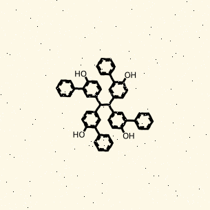 Oc1ccc(C(c2ccc(O)c(-c3ccccc3)c2)C(c2ccc(O)c(-c3ccccc3)c2)c2ccc(O)c(-c3ccccc3)c2)cc1-c1ccccc1